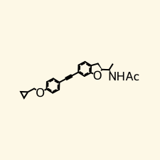 CC(=O)N[C@@H](C)[C@@H]1Cc2ccc(C#Cc3ccc(OCC4CC4)cc3)cc2O1